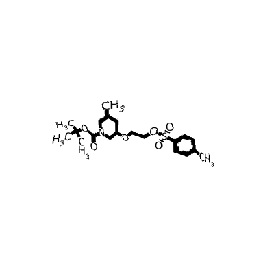 Cc1ccc(S(=O)(=O)OCCOC2CC(C)CN(C(=O)OC(C)(C)C)C2)cc1